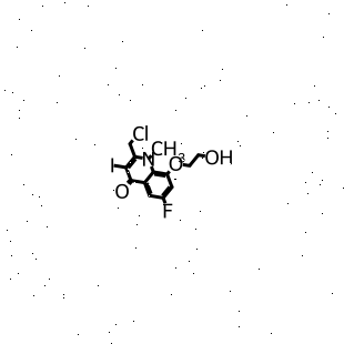 Cn1c(CCl)c(I)c(=O)c2cc(F)cc(OCCO)c21